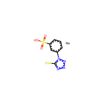 O=S(=O)(O)c1cccc(-n2nnnc2S)c1.[Na]